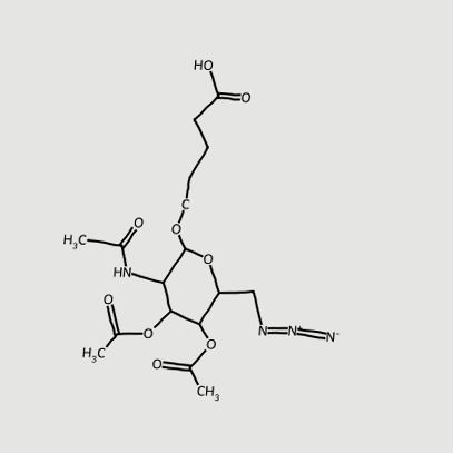 CC(=O)NC1C(OCCCCC(=O)O)OC(CN=[N+]=[N-])C(OC(C)=O)C1OC(C)=O